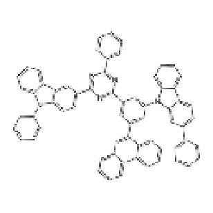 c1ccc(-c2ccc3c4ccccc4n(-c4cc(-c5nc(-c6ccccc6)nc(-c6ccc7c(c6)c6ccccc6n7-c6ccccc6)n5)cc(-c5cc6ccccc6c6ccccc56)c4)c3c2)cc1